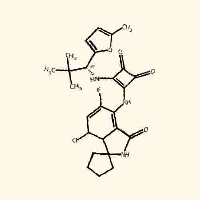 Cc1ccc([C@H](Nc2c(NC3=C4C(=O)NC5(CCCC5)C4C(Cl)C=C3F)c(=O)c2=O)C(C)(C)C)o1